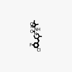 Cc1onc(NC(=O)N2CCC(=Cc3cc(F)cc(Cl)c3)C(C)C2)c1C